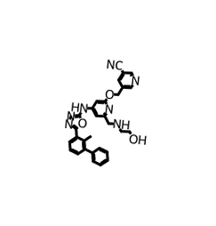 Cc1c(-c2ccccc2)cccc1-c1nnc(Nc2cc(CNCCO)nc(OCc3cncc(C#N)c3)c2)o1